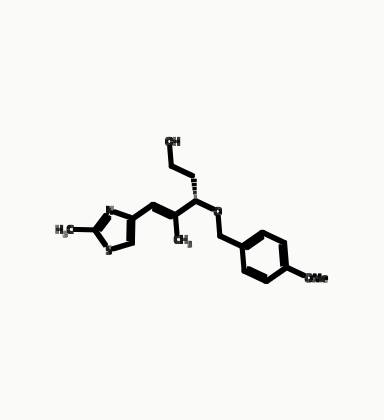 COc1ccc(CO[C@@H](CCO)/C(C)=C/c2csc(C)n2)cc1